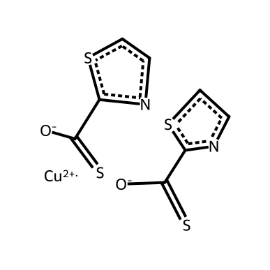 [Cu+2].[O-]C(=S)c1nccs1.[O-]C(=S)c1nccs1